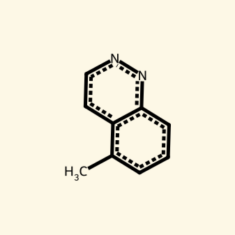 Cc1cccc2nnccc12